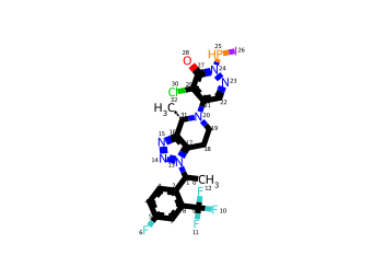 CC(c1ccc(F)cc1C(F)(F)F)n1nnc2c1CCN(c1cnn(PI)c(=O)c1Cl)[C@H]2C